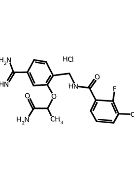 CC(Oc1cc(C(=N)N)ccc1CNC(=O)c1cccc(Cl)c1F)C(N)=O.Cl